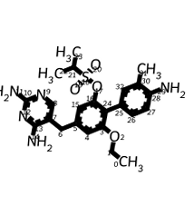 CCOc1cc(Cc2cnc(N)nc2N)cc(OS(=O)(=O)C(C)C)c1-c1ccc(N)c(C)c1